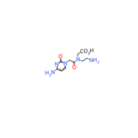 NCCN(CC(=O)O)C(=O)Cn1ccc(N)nc1=O